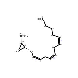 CCCCC[C@H]1O[C@H]1C/C=C\C/C=C\C/C=C\CCCC(=O)O